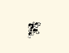 COCC(=O)OC[C@H]1OC=C[C@@H](OC(=O)COC)[C@@H]1OC(=O)COC